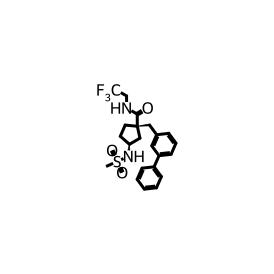 CS(=O)(=O)N[C@H]1CC[C@](Cc2cccc(-c3ccccc3)c2)(C(=O)NCC(F)(F)F)C1